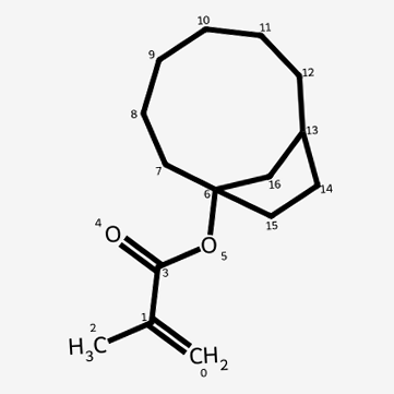 C=C(C)C(=O)OC12CCCCCCC(CC1)C2